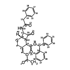 CC(=O)O/C=C1/CS[C@@H]2C(NC(=O)Cc3ccccc3)C(=O)N2C1C(=O)OC(c1ccccc1)c1ccccc1